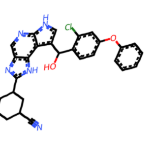 N#CC1CCCC(c2nc3cnc4[nH]cc(C(O)c5ccc(Oc6ccccc6)cc5Cl)c4c3[nH]2)C1